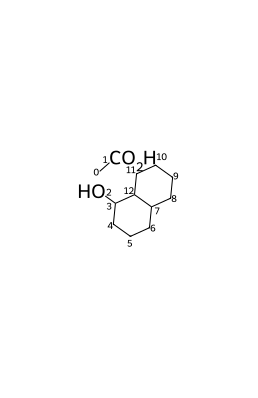 CC(=O)O.OC1CCCC2CCCCC12